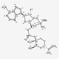 C=C(C)[C@H]1CC[C@@](C)(S[PH](=S)OC[C@H]2O[C@@H](n3cnc4c(N)ncnc43)[C@H](F)C2O[Si](C)(C)C(C)(C)C)[C@H](O)C1